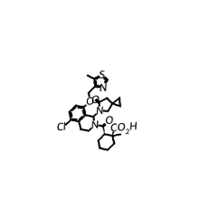 Cc1scnc1COc1ccc(Cl)c2c1C(N1CC3(CC3)CC1=O)N(C(=O)[C@@H]1CCCC[C@]1(C)C(=O)O)CC2